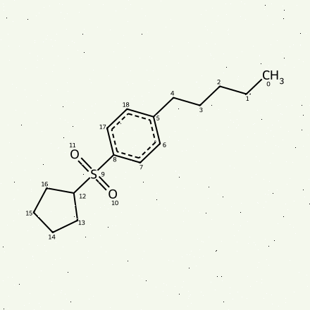 C[CH]CCCc1ccc(S(=O)(=O)C2CCCC2)cc1